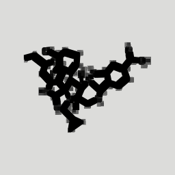 C=C1/C(=C\C(Cl)=C/C)NC(=O)[C@@]12[C@H](c1cccc(Cl)c1F)[C@@H]1[C@@H](COc3c4ccc(C(=O)O)cc4nn31)N2CC1CC1